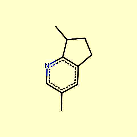 Cc1cnc2c(c1)CCC2C